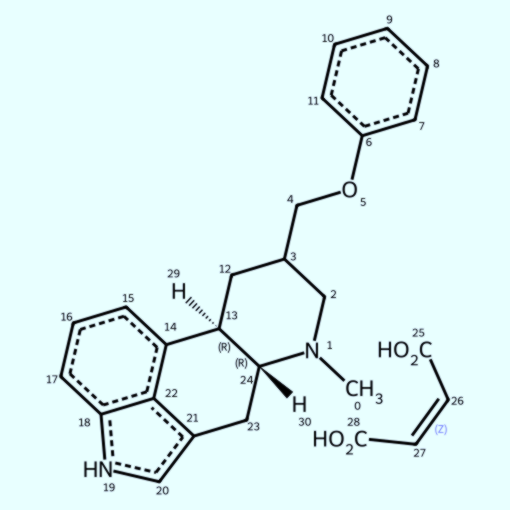 CN1CC(COc2ccccc2)C[C@@H]2c3cccc4[nH]cc(c34)C[C@H]21.O=C(O)/C=C\C(=O)O